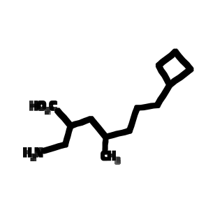 CC(CCCC1CCC1)CC(CN)C(=O)O